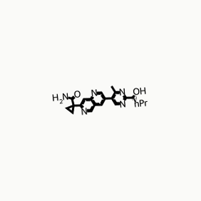 CCC[C@H](O)c1ncc(-c2cnc3cc(C4(C(N)=O)CC4)ncc3c2)c(C)n1